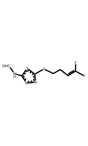 O=CNc1nnc(SCCC=C(F)F)s1